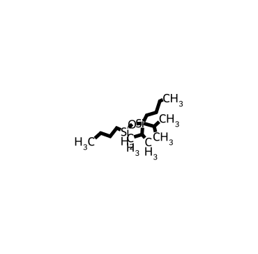 CCCC[SiH2]O[Si](CCCC)(C(C)C)C(C)C